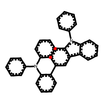 c1ccc(N(c2ccccc2)c2ccccc2-c2ccc3c(c2)c2ccccc2n3-c2ccccc2)cc1